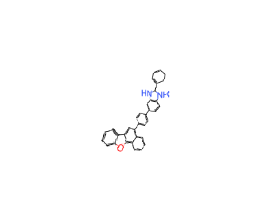 C1=CCCC(C2Nc3ccc(-c4ccc(-c5cc6c7ccccc7oc6c6ccccc56)cc4)cc3N2)=C1